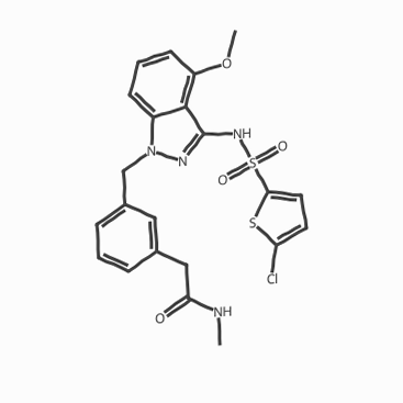 CNC(=O)Cc1cccc(Cn2nc(NS(=O)(=O)c3ccc(Cl)s3)c3c(OC)cccc32)c1